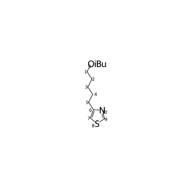 C[C](C)COCCCCCc1cscn1